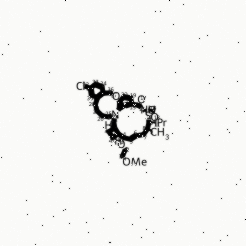 COCCO[C@H]1/C=C/C[C@H](C)[C@H](C(C)C)S(=O)(=O)NC(=O)c2ccc3c(c2)N(CCCCc2cc(Cl)ccc2CO3)C[C@@H]2CC[C@H]21